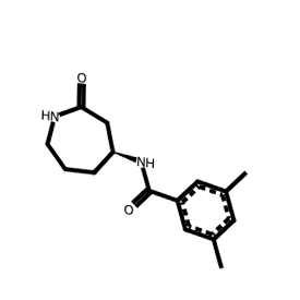 Cc1cc(C)cc(C(=O)N[C@H]2CCCNC(=O)C2)c1